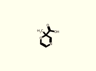 [CH2]C1(C(=O)O)C=NC=CO1